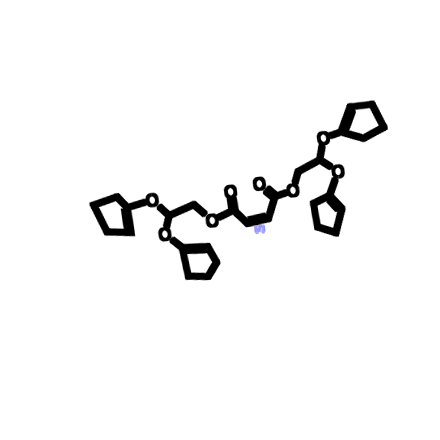 O=C(/C=C\C(=O)OCC(OC1=CCCC1)OC1=CCCC1)OCC(OC1=CCCC1)OC1=CCCC1